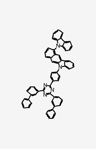 c1ccc(-c2cccc(-c3nc(-c4ccc(-n5c6ccccc6c6cc7c(-n8c9ccccc9c9ccccc98)cccc7cc65)cc4)nc(-c4cccc(-c5ccccc5)c4)n3)c2)cc1